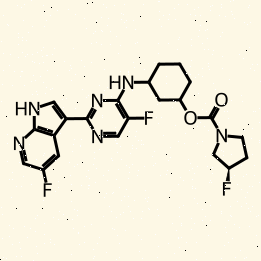 O=C(OC1CCCC(Nc2nc(-c3c[nH]c4ncc(F)cc34)ncc2F)C1)N1CC[C@@H](F)C1